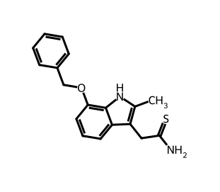 Cc1[nH]c2c(OCc3ccccc3)cccc2c1CC(N)=S